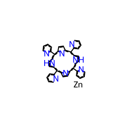 C1=Cc2nc1c(-c1ccccn1)c1ccc([nH]1)c(-c1ccccn1)c1nc(c(-c3ccccn3)c3ccc([nH]3)c2-c2ccccn2)C=C1.[Zn]